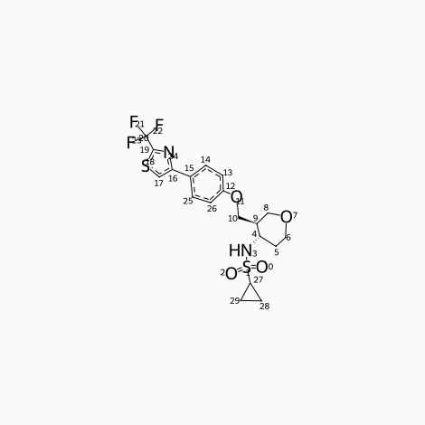 O=S(=O)(N[C@H]1CCOC[C@@H]1COc1ccc(-c2csc(C(F)(F)F)n2)cc1)C1CC1